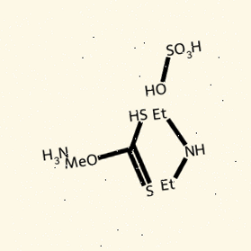 CCNCC.COC(=S)S.N.O=S(=O)(O)O